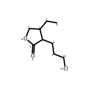 CCC1COC(=O)C1CCCCl